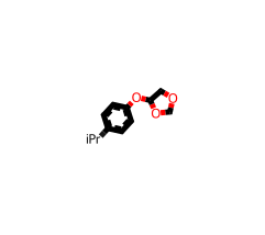 CC(C)c1ccc(OC2COCO2)cc1